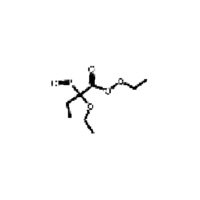 CCOOC(=O)C(CC)(OCC)P=O